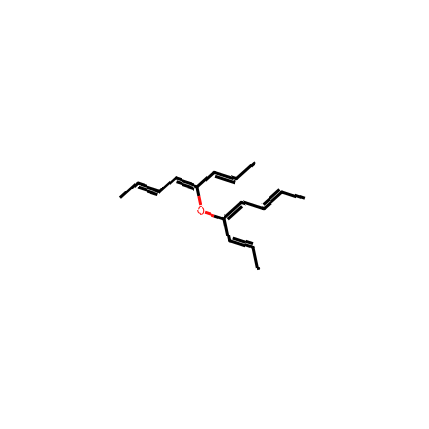 CC=CC=C(C=CC)OC(C=CC)=CC=CC